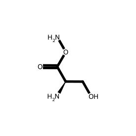 NOC(=O)[C@H](N)CO